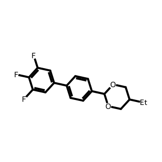 CCC1COC(c2ccc(-c3cc(F)c(F)c(F)c3)cc2)OC1